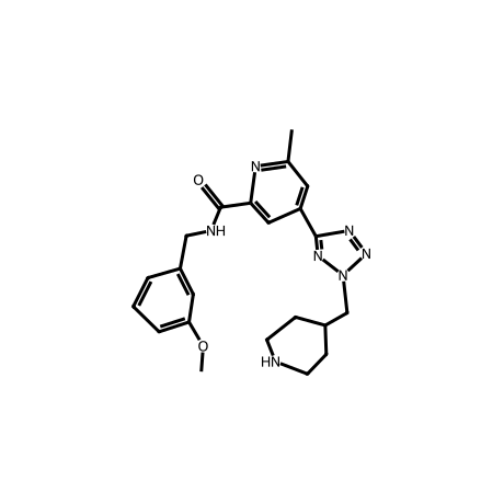 COc1cccc(CNC(=O)c2cc(-c3nnn(CC4CCNCC4)n3)cc(C)n2)c1